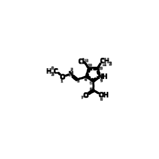 CON=Cc1c(C(=O)O)[nH]c(C)c1Cl